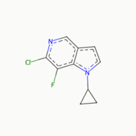 Fc1c(Cl)ncc2ccn(C3CC3)c12